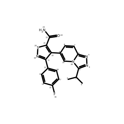 CC(C)c1nnc2ccc(-c3c(-c4ccc(F)cc4)nsc3C(N)=O)cn12